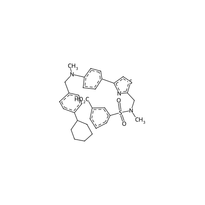 CN(Cc1ccc(C2CCCCC2)cc1)c1ccc(-c2csc(CN(C)S(=O)(=O)c3cccc(C(=O)O)c3)n2)cc1